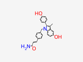 Cc1c(-c2ccc(O)cc2)n(Cc2ccc(C=CC(N)=O)cc2)c2ccc(O)cc12